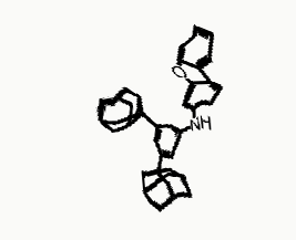 c1ccc2c(c1)oc1cc(Nc3cc(C4C5CC6CC(C5)CC4C6)cc(C45CC6CC(CC(C6)C4)C5)c3)ccc12